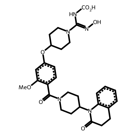 COc1cc(OC2CCN(C(=NO)NC(=O)O)CC2)ccc1C(=O)N1CCC(N2C(=O)CCc3ccccc32)CC1